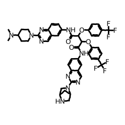 CN(C)C1CCN(c2ncc3cc(NC(=O)C(Oc4ccc(C(F)(F)F)cc4)C(Oc4ccc(C(F)(F)F)cc4)C(=O)Nc4ccc5nc(N6CC7CC6CN7)ncc5c4)ccc3n2)CC1